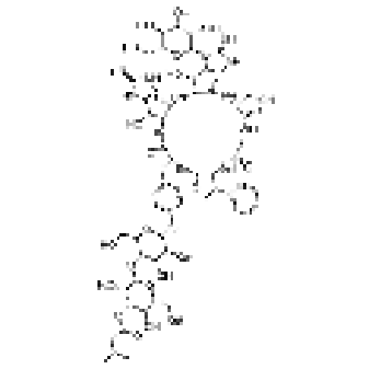 CC(C)CC(=O)O[C@@H]1[C@H](O)[C@@H](O[C@H]2[C@H](O)[C@H](O)[C@@H](Oc3ccc(CC4NC(=O)C(C(C)c5ccccc5)NC(=O)CNC(=O)C(CO)NC(=O)C(C(O)C5CNC(=N)N5[C@H]5O[C@H](CO)[C@@H](O)[C@H](O)[C@@H]5O)NC(=O)C(C(O)C5CNC(=N)N5)NC4=O)cc3)O[C@@H]2CO)O[C@H](CO)[C@H]1O